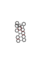 c1ccc(-c2cccc3cccc(-c4ccccc4N(c4ccccc4-c4ccc5c(c4)oc4ccccc45)c4ccccc4-c4cccc5c6ccccc6n(-c6ccccc6)c45)c23)cc1